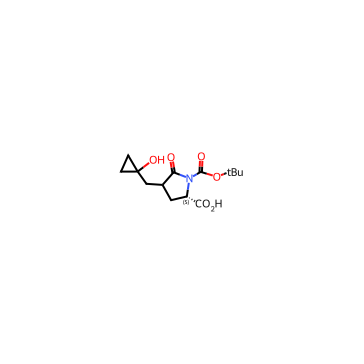 CC(C)(C)OC(=O)N1C(=O)C(CC2(O)CC2)C[C@H]1C(=O)O